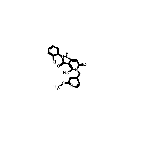 COc1cc(Cn2c(C)c3c(=O)n(-c4ccccc4Cl)[nH]c3cc2=O)ccn1